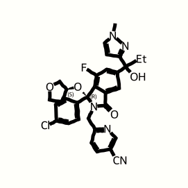 CCC(O)(c1cc(F)c2c(c1)C(=O)N(Cc1ccc(C#N)cn1)[C@@]2(O[C@H]1CCOC1)c1ccc(Cl)cc1)c1ccn(C)n1